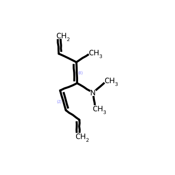 C=C/C=C\C(=C(\C)C=C)N(C)C